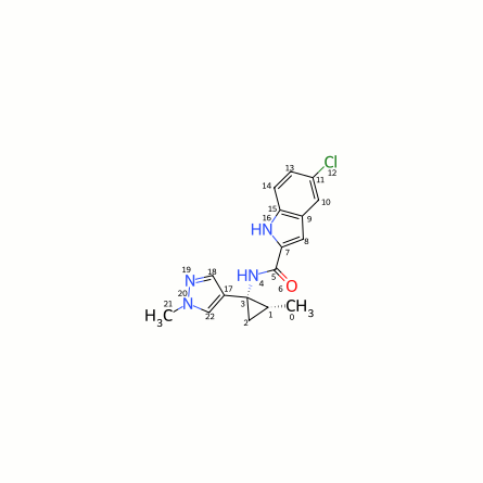 C[C@@H]1C[C@@]1(NC(=O)c1cc2cc(Cl)ccc2[nH]1)c1cnn(C)c1